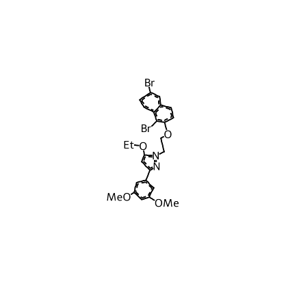 CCOc1cc(-c2cc(OC)cc(OC)c2)nn1CCOc1ccc2cc(Br)ccc2c1Br